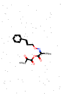 CCCCCCC(=O)C(=O)OC(=O)C(CCCCCC)=NOC/C=C/c1ccccc1